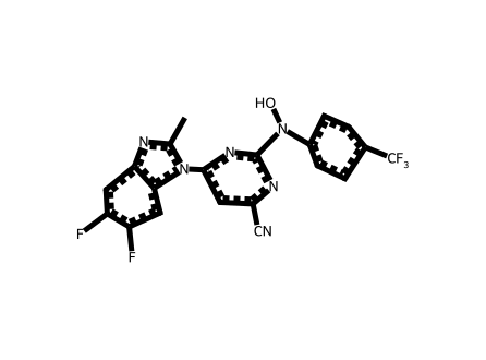 Cc1nc2cc(F)c(F)cc2n1-c1cc(C#N)nc(N(O)c2ccc(C(F)(F)F)cc2)n1